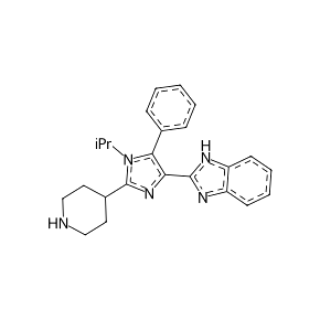 CC(C)n1c(C2CCNCC2)nc(-c2nc3ccccc3[nH]2)c1-c1ccccc1